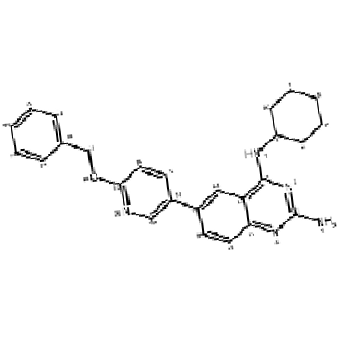 Nc1nc(NC2CCCCC2)c2cc(-c3ccc(OCc4ccccc4)nc3)ccc2n1